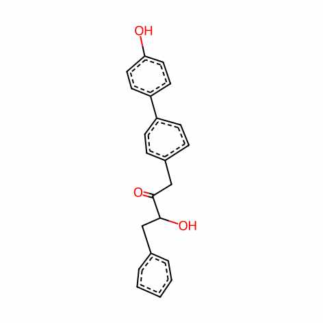 O=C(Cc1ccc(-c2ccc(O)cc2)cc1)C(O)Cc1ccccc1